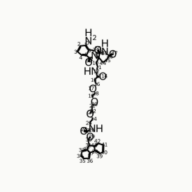 Nc1cccc2c1CN(C1(CCNC(=O)CCOCCOCCOCCNC(=O)OCC3c4ccccc4-c4ccccc43)CCC(=O)NC1=O)C2=O